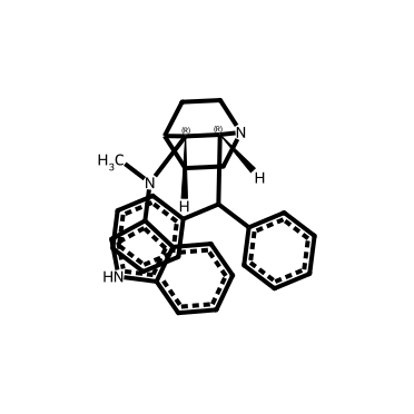 CN(c1c[nH]c2ccccc12)[C@@H]1C2CCN(CC2)[C@@H]1C(c1ccccc1)c1ccccc1